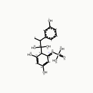 CC(c1cccc(O)c1)C(O)(O)C1C(O)=CC(O)=C/C1=N\P(=O)(O)O